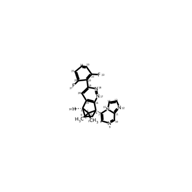 CC1(C)[C@H]2CC[C@]1(c1cncc3nccn13)c1nnc(-c3c(F)cccc3F)cc12